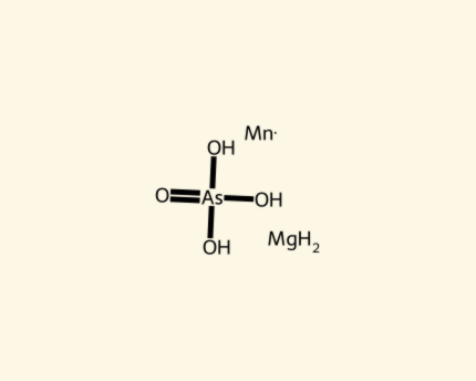 O=[As](O)(O)O.[MgH2].[Mn]